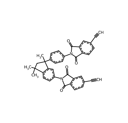 C#Cc1ccc2c(c1)C(=O)N(c1ccc(C3(C)CC(C)(C)c4ccc(N5C(=O)c6ccc(C#C)cc6C5=O)cc43)cc1)C2=O